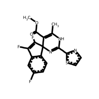 COC(=O)C1=C(C)NC(c2nccs2)=NC12C(F)=C(F)c1cc(F)ccc12